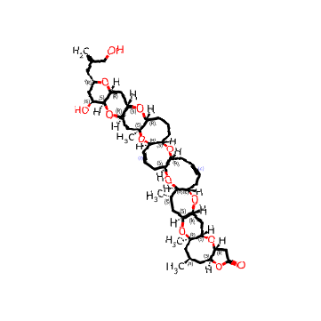 C=C(CO)C[C@@H]1C[C@H](O)[C@@H]2O[C@@H]3C[C@]4(C)O[C@@H]5/C=C\C[C@@H]6O[C@H]7[C@H](C/C=C\C[C@H]6O[C@H]5CCC[C@H]4O[C@H]3C[C@H]2O1)O[C@@H]1C[C@@H]2O[C@@H]3CC(=O)O[C@H]3C[C@@H](C)C[C@@]2(C)O[C@H]1C[C@@H]7C